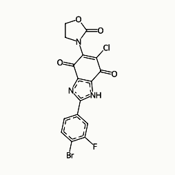 O=C1C(N2CCOC2=O)=C(Cl)C(=O)c2[nH]c(-c3ccc(Br)c(F)c3)nc21